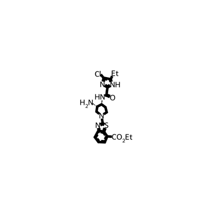 CCOC(=O)c1cccc2nc(N3CC[C@@H](NC(=O)c4nc(Cl)c(CC)[nH]4)[C@@H](N)C3)sc12